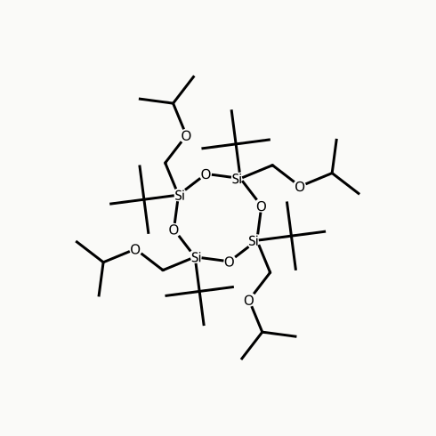 CC(C)OC[Si]1(C(C)(C)C)O[Si](COC(C)C)(C(C)(C)C)O[Si](COC(C)C)(C(C)(C)C)O[Si](COC(C)C)(C(C)(C)C)O1